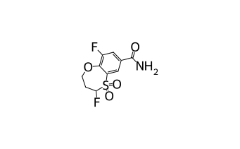 NC(=O)c1cc(F)c2c(c1)S(=O)(=O)C(F)CCO2